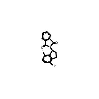 O=C1c2ccccc2C(=O)N1C1CCc2c(Br)ccc(F)c21